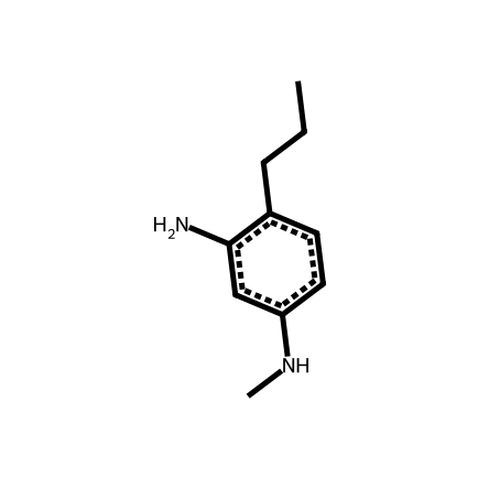 CCCc1ccc(NC)cc1N